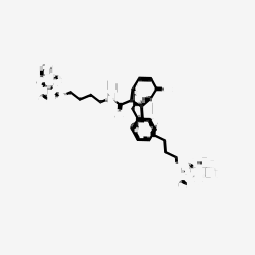 CCOP(=O)(OCC)OCCCCNC(=O)C1C(C(=O)OCCCCOP(=O)(OCC)OCC)[C@@H]2C(=O)C=C[C@H]1N2Cc1ccccc1